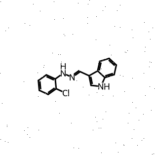 Clc1ccccc1N/N=C/c1c[nH]c2ccccc12